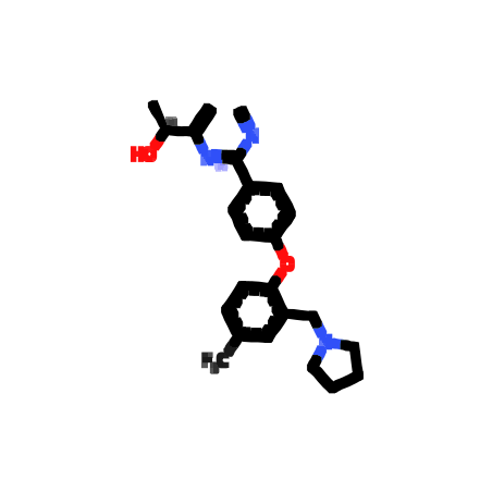 C=N/C(=N\C(=C)[C@H](C)O)c1ccc(Oc2ccc(C(F)(F)F)cc2CN2CCCC2)cc1